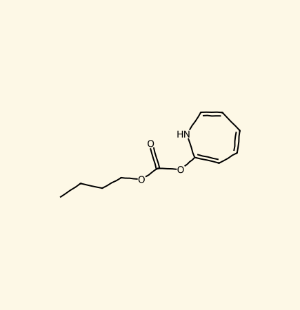 CCCCOC(=O)OC1=CC=CC=CN1